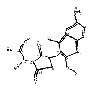 COc1nc2ccc(N)cc2c(C)c1C1CC(=O)N(N(O)C(=O)O)C1=O